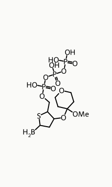 BC1CC(OC2(OC)CCOCC2)C(COP(=O)(O)OP(=O)(O)OP(=O)(O)O)S1